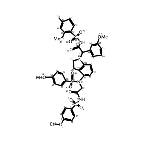 CCOc1ccc(S(=O)(=O)NC(=O)CN(c2cccc3c2CCN3C(C(=O)NS(=O)(=O)c2ccc(C)cc2OC)c2cccc(OC)c2)S(=O)(=O)c2ccc(OC)cc2)cc1